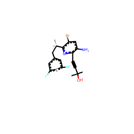 C[C@@H](Cc1cc(F)cc(F)c1)c1nc(C#CC(C)(C)O)c(N)cc1Br